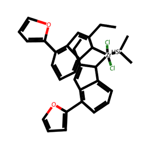 CCC1=Cc2c(-c3ccco3)cccc2[CH]1[Zr]([Cl])([Cl])([CH]1C(CC)=Cc2c(-c3ccco3)cccc21)[SiH](C)C